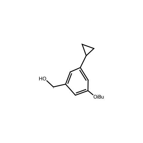 CC(C)COc1cc([CH]O)cc(C2CC2)c1